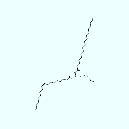 CCCCCCCC/C=C\CCCCCCCC(=O)O[C@@H](COP(=O)(O)OCCN)C(O)C(=O)CCCCCCCCCCCCCCCCC